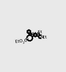 CCOC(=O)N1CCCCC(c2ccc3c(c2)C2CCN(CC)CC2N3CC)c2[nH]c3ccccc3c2CC1